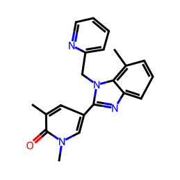 Cc1cc(-c2nc3cccc(C)c3n2Cc2ccccn2)cn(C)c1=O